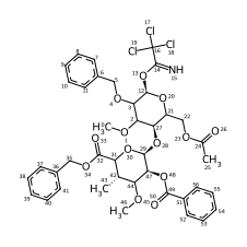 COC1C(OCc2ccccc2)[C@@H](OC(=N)C(Cl)(Cl)Cl)OC(COC(C)=O)[C@H]1O[C@@H]1OC(C(=O)OCc2ccccc2)[C@@H](C)C(OC)[C@@H]1OC(=O)c1ccccc1